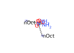 CCCCCCCC/C=C\CCCCCCCC(=O)N(C(=O)CCCCCCC/C=C\CCCCCCCC)[C@@H](CC(N)=O)C(N)=O